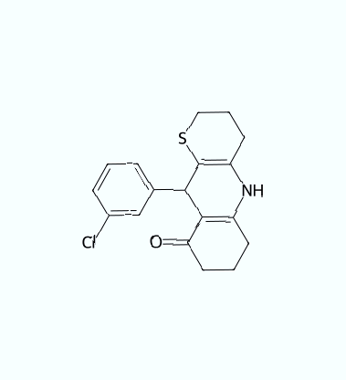 O=C1CCCC2=C1C(c1cccc(Cl)c1)C1=C(CCCS1)N2